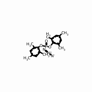 Cc1cc(C)c(OP(=O)(N=[N+]=[N-])Oc2c(C)cc(C)cc2C)c(C)c1